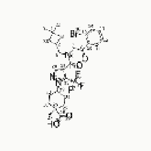 CC1(C)CC(CN(CC(=O)c2ccccc2Br)C(=O)c2cnn([C@H]3CC[C@](C)(C(=O)O)CC3)c2C(F)(F)F)C1